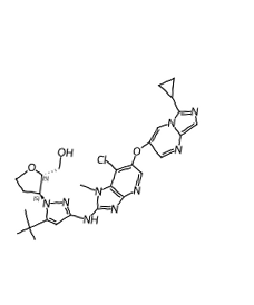 Cn1c(Nc2cc(C(C)(C)C)n([C@H]3CCO[C@@H]3CO)n2)nc2ncc(Oc3cnc4cnc(C5CC5)n4c3)c(Cl)c21